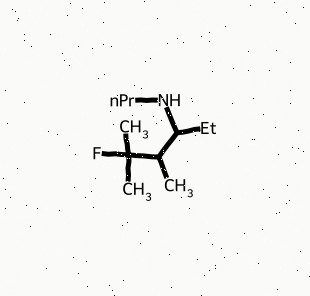 CCCNC(CC)C(C)C(C)(C)F